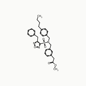 CCCCc1ccc(CN(Cc2cccc(CC(=O)OC)c2)S(=O)(=O)c2nonc2Cc2ccccc2)cc1